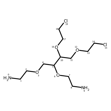 NCCOCC(OCCN)C(COCCCl)OCCCl